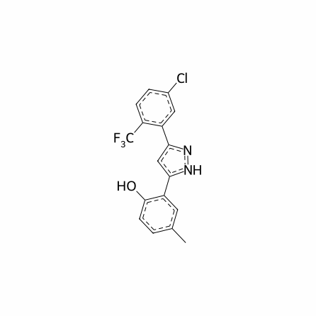 Cc1ccc(O)c(-c2cc(-c3cc(Cl)ccc3C(F)(F)F)n[nH]2)c1